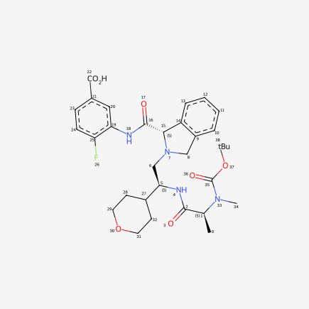 C[C@@H](C(=O)N[C@H](CN1Cc2ccccc2[C@H]1C(=O)Nc1cc(C(=O)O)ccc1F)C1CCOCC1)N(C)C(=O)OC(C)(C)C